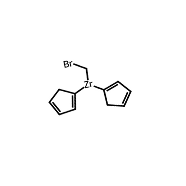 Br[CH2][Zr]([C]1=CC=CC1)[C]1=CC=CC1